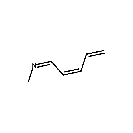 C=C/C=C\C=N/C